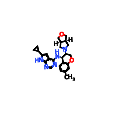 Cc1ccc2c(c1)OC[C@H](N1C[C@H]3COC[C@H]3C1)[C@H]2Nc1ncnc2[nH]c(C3CC3)cc12